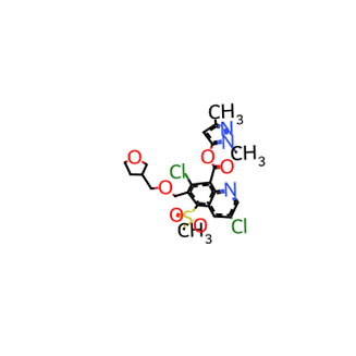 Cc1cc(OC(=O)c2c(Cl)c(COCC3CCOC3)c(S(C)(=O)=O)c3cc(Cl)cnc23)n(C)n1